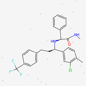 CNC(=O)[C@@H](N[C@H](CCc1ccc(C(F)(F)F)cc1)c1ccc(C)c(Cl)c1)c1ccccc1